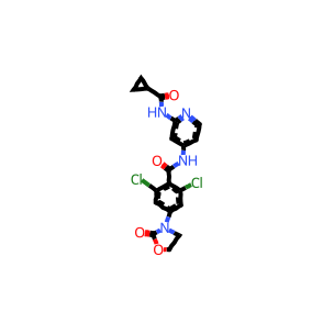 O=C(Nc1ccnc(NC(=O)C2CC2)c1)c1c(Cl)cc(N2CCOC2=O)cc1Cl